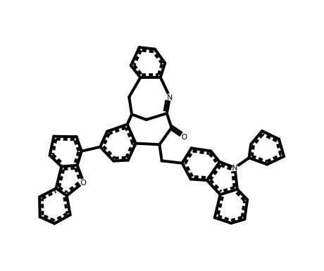 O=C1C2=Nc3ccccc3CC(C2)c2cc(-c3cccc4c3oc3ccccc34)ccc2C1Cc1ccc2c(c1)c1ccccc1n2-c1ccccc1